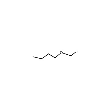 [CH]COCCCC